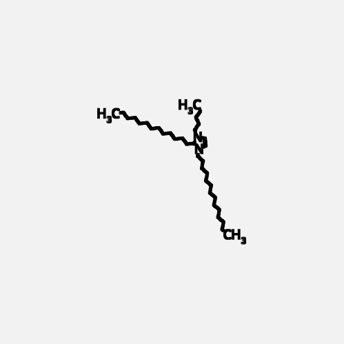 CCCCCCCCCCCCCCN1C=CN(CCCCC)C1CCCCCCCCCCCCC